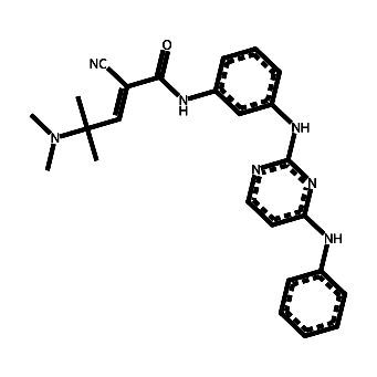 CN(C)C(C)(C)C=C(C#N)C(=O)Nc1cccc(Nc2nccc(Nc3ccccc3)n2)c1